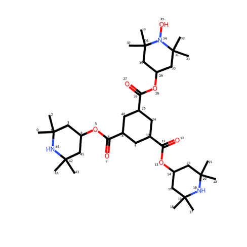 CC1(C)CC(OC(=O)C2CC(C(=O)OC3CC(C)(C)NC(C)(C)C3)CC(C(=O)OC3CC(C)(C)N(O)C(C)(C)C3)C2)CC(C)(C)N1